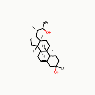 CCC[C@@H](O)[C@@H](C)[C@H]1CC[C@H]2[C@@H]3CC=C4C[C@](O)(CC)CC[C@]4(C)[C@H]3CC[C@]12C